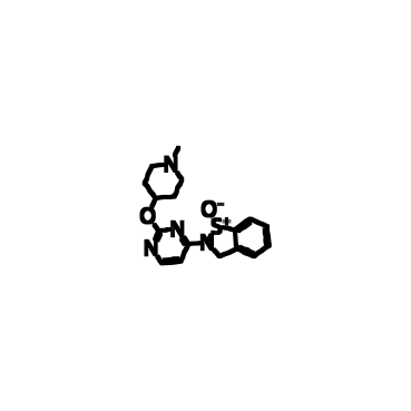 CN1CCC(Oc2nccc(N3Cc4ccccc4[S+]3[O-])n2)CC1